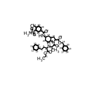 CCOC(=O)C(CCc1ccccc1)N[C@@H](C)C(=O)N1C(C(=O)OCc2ccccc2)CC2CC(NC(=O)c3ccc(Cl)c(S(N)(=O)=O)c3)CCC21